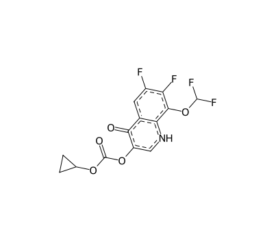 O=C(Oc1c[nH]c2c(OC(F)F)c(F)c(F)cc2c1=O)OC1CC1